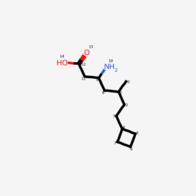 CC(CCC1CCC1)CC(N)CC(=O)O